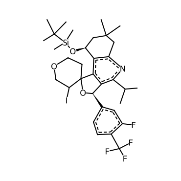 CC(C)c1nc2c(c3c1[C@@H](c1ccc(C(F)(F)F)c(F)c1)OC31CCOCC1I)[C@@H](O[Si](C)(C)C(C)(C)C)CC(C)(C)C2